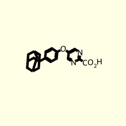 O=C(O)c1ncc(Oc2ccc(C34CC5CC(CC(C5)C3)C4)cc2)cn1